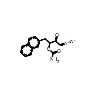 [N-]=[N+]=CC(=O)C(Cc1ccc2ccccc2c1)OC(N)=O